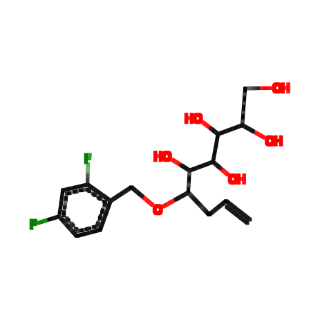 C=CCC(OCc1ccc(F)cc1F)C(O)C(O)C(O)C(O)CO